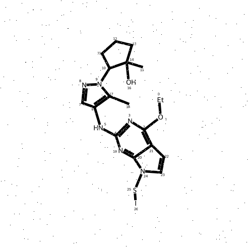 CCOc1nc(Nc2cnn(C3CCCC3(C)O)c2C)nc2c1ccn2SI